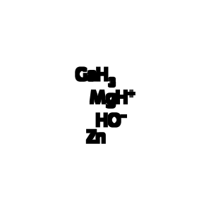 [GaH3].[MgH+].[OH-].[Zn]